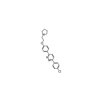 Clc1ccc(-c2ccc(-c3ccc(OCCN4CCCC4)cc3)nn2)cc1